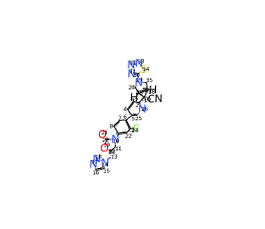 N#C[C@]1(c2ccc(-c3ccc(N4C[C@H](Cn5ccnn5)OC4=O)cc3F)cn2)[C@@H]2CN(c3nnns3)C[C@@H]21